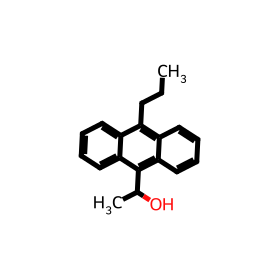 CCCc1c2ccccc2c(C(C)O)c2ccccc12